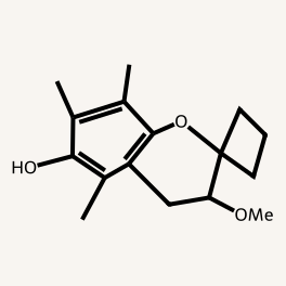 COC1Cc2c(C)c(O)c(C)c(C)c2OC12CCC2